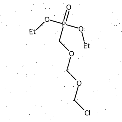 CCOP(=O)(COCOCCl)OCC